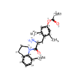 COC(=O)Oc1cc(C)c(C[C@H](N)C(=O)N2CCCc3cccc(OC)c32)c(C)c1